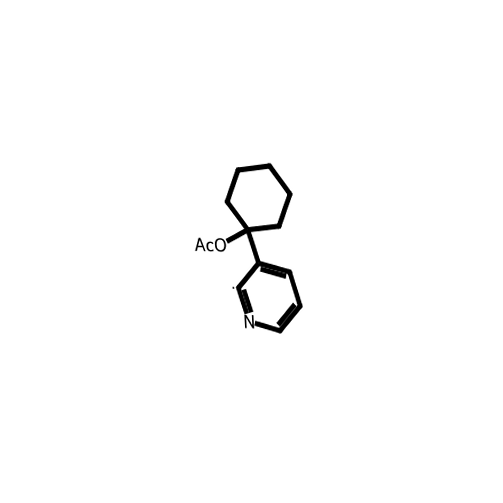 CC(=O)OC1(c2[c]nccc2)CCCCC1